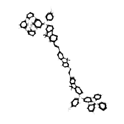 CC1(C)c2cc(/C=C/c3ccc4c(c3)C(C)(C)c3cc(N(c5ccc(F)cc5)c5ccc([Si](c6ccccc6)(c6ccccc6)c6ccccc6)cc5)ccc3-4)ccc2-c2ccc(/C=C/c3ccc4c(c3)C(C)(C)c3cc(N(c5ccc(F)cc5)c5ccc([Si](c6ccccc6)(c6ccccc6)c6ccccc6)cc5)ccc3-4)cc21